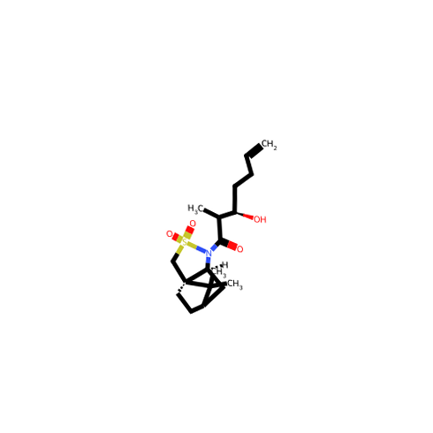 C=CCC[C@@H](O)C(C)C(=O)N1[C@H]2CC3CC[C@@]2(CS1(=O)=O)C3(C)C